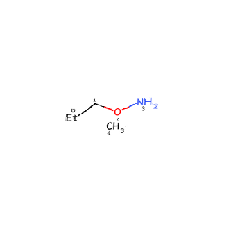 CCCON.[CH3]